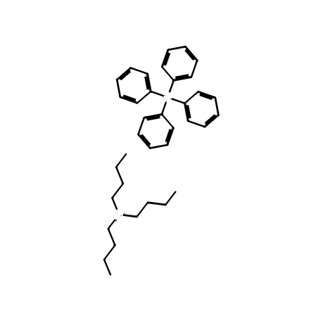 CCCC[NH+](CCCC)CCCC.c1ccc([B-](c2ccccc2)(c2ccccc2)c2ccccc2)cc1